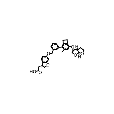 Cc1cc(O[C@@H]2CO[C@H]3OCC[C@H]32)c2c(c1-c1cccc(COc3ccc4c(c3)OC[C@H]4CC(=O)O)c1)CC2